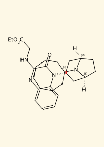 CCOC(=O)CNc1nc2ccccc2n([C@@H]2C[C@H]3CC[C@@H](C2)N3C2CCCCCCC2)c1=O